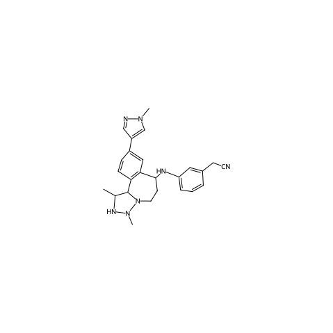 CC1NN(C)N2CCC(Nc3cccc(CC#N)c3)c3cc(-c4cnn(C)c4)ccc3C12